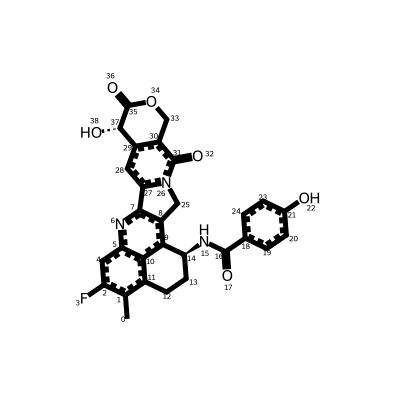 Cc1c(F)cc2nc3c(c4c2c1CC[C@@H]4NC(=O)c1ccc(O)cc1)Cn1c-3cc2c(c1=O)COC(=O)[C@H]2O